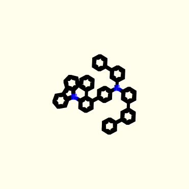 c1ccc(-c2cccc(-c3cccc(N(c4ccc(-c5cccc(-n6c7ccccc7c7ccccc76)c5-c5ccccc5)cc4)c4cccc(-c5ccccc5)c4)c3)c2)cc1